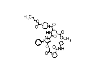 CCCOC(=O)N1CCN(C(=O)[C@H](CCC(=O)OC)NC(=O)c2cc(OCC(=O)N3CCC[C@H]3C(=O)NC3CCC3)n(-c3ccccc3)n2)CC1